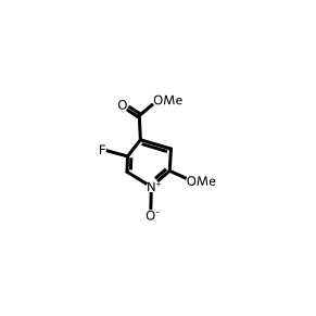 COC(=O)c1cc(OC)[n+]([O-])cc1F